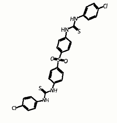 O=S(=O)(c1ccc(NC(=S)Nc2ccc(Cl)cc2)cc1)c1ccc(NC(=S)Nc2ccc(Cl)cc2)cc1